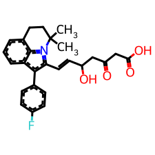 CC1(C)CCc2cccc3c(-c4ccc(F)cc4)c(C=CC(O)CC(=O)CC(=O)O)n1c23